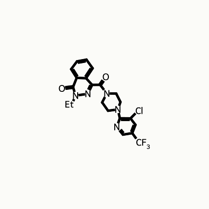 CCn1nc(C(=O)N2CCN(c3ncc(C(F)(F)F)cc3Cl)CC2)c2ccccc2c1=O